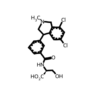 CN1Cc2c(Cl)cc(Cl)cc2C(c2cccc(C(=O)N[C@@H](CO)C(=O)O)c2)C1